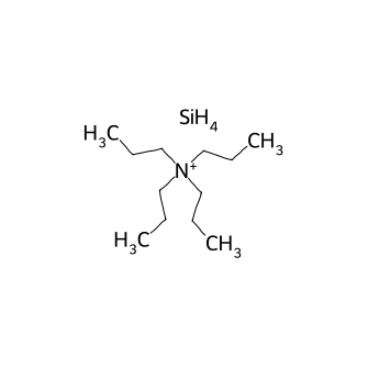 CCC[N+](CCC)(CCC)CCC.[SiH4]